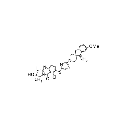 COc1ccc2c(c1)[C@@H](N)C1(CCN(c3cnc(Sc4ccc5ncn(CC(C)(C)O)c(=O)c5c4Cl)cn3)CC1)C2